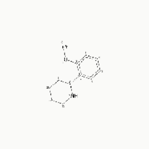 CC(C)Oc1ccccc1[C@H]1CCCCN1